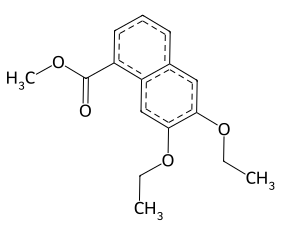 CCOc1cc2cccc(C(=O)OC)c2cc1OCC